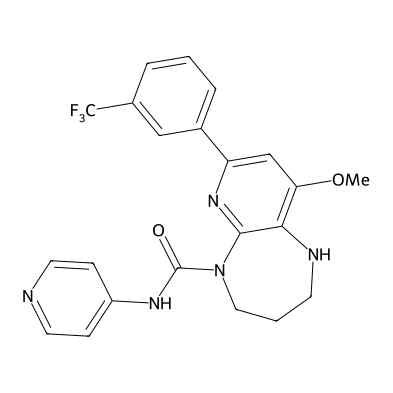 COc1cc(-c2cccc(C(F)(F)F)c2)nc2c1NCCCN2C(=O)Nc1ccncc1